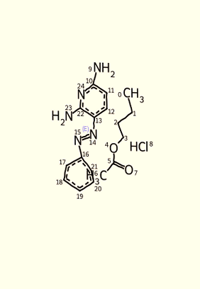 CCCCOC(C)=O.Cl.Nc1ccc(/N=N/c2ccccc2)c(N)n1